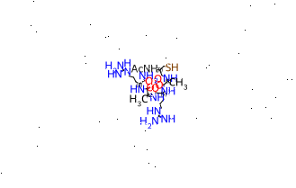 CC(=O)N[C@@H](CS)C(=O)N[C@@H](C)C(=O)N[C@@H](CCCNC(=N)N)C(=O)N[C@@H](C)C(=O)N[C@@H](CCCNC(=N)N)C(N)=O